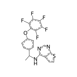 CC(Nc1ncnc2sccc12)c1ccc(Oc2c(F)c(F)c(F)c(F)c2F)cc1